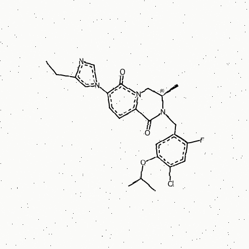 CCc1cn(-c2ccc3n(c2=O)C[C@@H](C)N(Cc2cc(OC(C)C)c(Cl)cc2F)C3=O)cn1